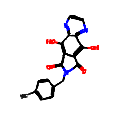 N#Cc1ccc(CN2C(=O)c3c(c(O)c4nccnc4c3O)C2=O)cc1